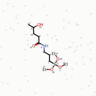 CCO[Si](CCCNC(=O)CCC(C)O)(OCC)OCC